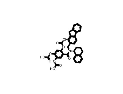 O=C(O)Oc1cc(OC(=O)O)c(C(=O)N(Cc2ccc3c(c2)Cc2ccccc2-3)[C@H]2CCCc3ccccc32)cc1OC(=O)O